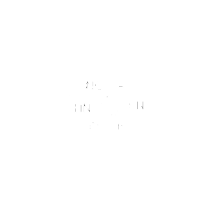 N#Cc1c(F)c(Cl)c(Nc2ccccc2)c(C#N)c1F